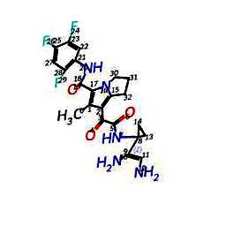 Cc1c(C(=O)C(=O)NC2(/C(N)=C/N)CC2)c2n(c1C(=O)Nc1cc(F)c(F)cc1F)CCC2